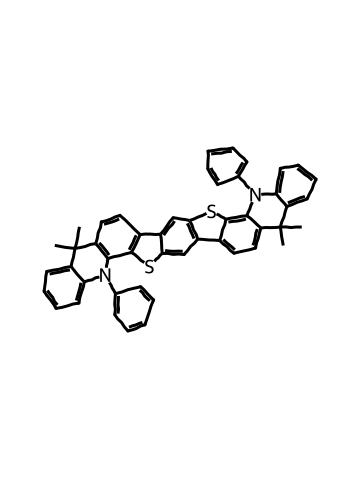 CC1(C)c2ccccc2N(c2ccccc2)c2c1ccc1c2sc2cc3c(cc21)sc1c2c(ccc13)C(C)(C)c1ccccc1N2c1ccccc1